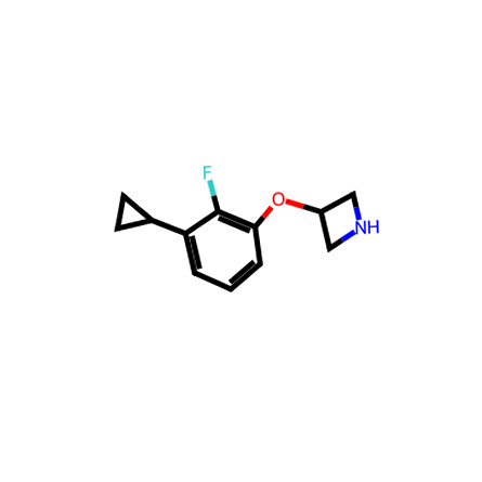 Fc1c(OC2CNC2)cccc1C1CC1